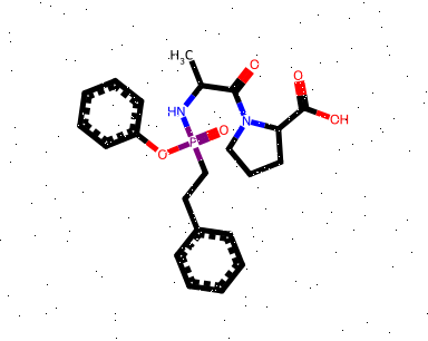 CC(NP(=O)(CCc1ccccc1)Oc1ccccc1)C(=O)N1CCCC1C(=O)O